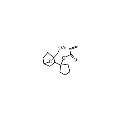 C=CC(=O)OC1(C2CC3CCC2(COC(C)=O)O3)CCCC1